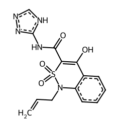 C=CCN1c2ccccc2C(O)=C(C(=O)Nc2nnc[nH]2)S1(=O)=O